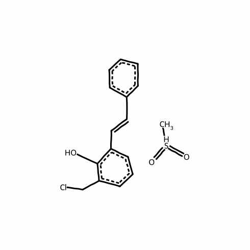 C[SH](=O)=O.Oc1c(/C=C/c2ccccc2)cccc1CCl